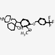 COc1cc(C(CN2CCNCC2)C2(O)CCCCC2)ccc1OCc1ccc(C(F)(F)F)cc1